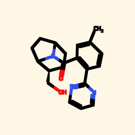 Cc1ccc(-c2ncccn2)c(C(=O)N2C3CCC2[C@@H](CO)CC3)c1